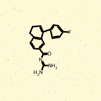 NC(N)=NC(=O)c1ccc2c(c1)C(c1ccc(F)cc1)=CCC2